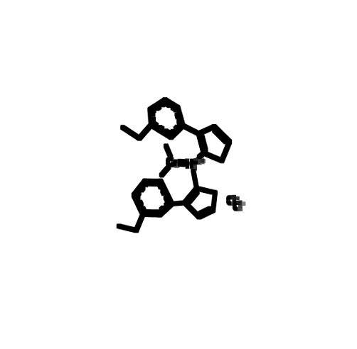 CCc1cccc(C2=[C]([Hf+2]([C]3=C(c4cccc(CC)c4)C=CC3)=[Ge]([CH3])[CH3])CC=C2)c1.[Cl-].[Cl-]